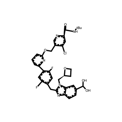 CC(C)(C)NC(=O)c1cc(Cl)c(COc2cccc(-c3cc(F)c(Cc4nc5ccc(C(O)O)cc5n4C[C@@H]4CCO4)cc3F)n2)cn1